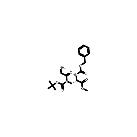 COC(=O)[C@H](CN(C(=O)CN)C(=O)OC(C)(C)C)NC(=O)OCc1ccccc1